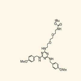 COc1ccc(CNc2nc(NCCOCCOCCNC(=O)OC(C)(C)C)nc(NCc3ccc(OC)cc3)n2)cc1